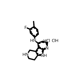 Cc1ccc(Nc2ccnc3[nH]c4c(c23)CNCC4)cc1F.Cl.Cl